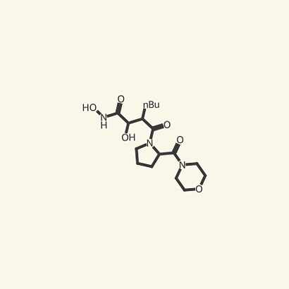 CCCCC(C(=O)N1CCCC1C(=O)N1CCOCC1)C(O)C(=O)NO